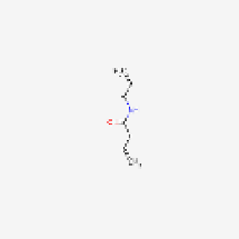 C=C[CH]NC(=O)CC=C